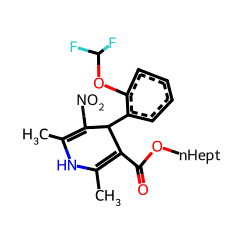 CCCCCCCOC(=O)C1=C(C)NC(C)=C([N+](=O)[O-])C1c1ccccc1OC(F)F